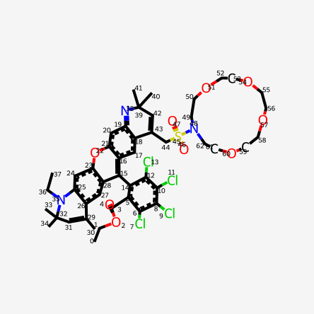 CCOC(=O)c1c(Cl)c(Cl)c(Cl)c(Cl)c1C1=c2cc3c(cc2Oc2cc4c(cc21)C(C)=CC(C)(C)N4CC)=NC(C)(C)C=C3CS(=O)(=O)N1CCOCCOCCOCCOCC1